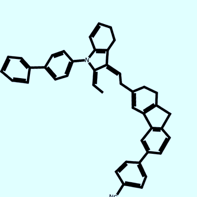 C/C=c1\c(=C/CC2=CC3=C(CC2)Cc2ccc(-c4ccc(C#N)cc4)cc23)c2c(n1-c1ccc(-c3ccccc3)cc1)C=CCC2